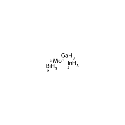 [BiH3].[GaH3].[InH3].[Mo]